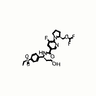 CCS(=O)(=O)c1ccc([C@H](CCO)NC(=O)c2cnc(N3CCC[C@H]3COC(F)F)c(F)c2)cc1